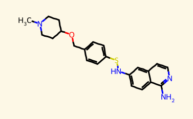 CN1CCC(OCc2ccc(SNc3ccc4c(N)nccc4c3)cc2)CC1